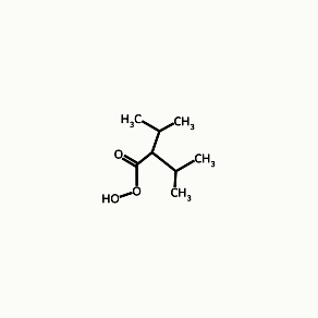 CC(C)C(C(=O)OO)C(C)C